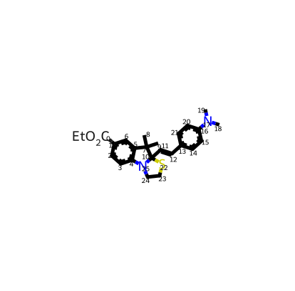 CCOC(=O)c1ccc2c(c1)C(C)(C)C1(/C=C/c3ccc(N(C)C)cc3)SCCN21